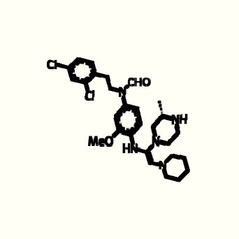 COc1cc(N(C=O)CCc2ccc(Cl)cc2Cl)ccc1N/C(=C/N1CCCCC1)N1CCN[C@@H](C)C1